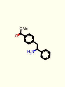 COC(=O)c1ccc(CC(N)c2ccccc2)cc1